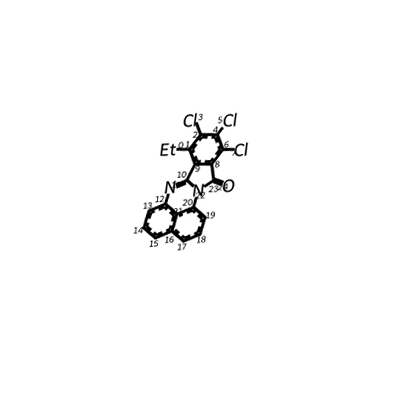 CCc1c(Cl)c(Cl)c(Cl)c2c1C1=Nc3cccc4cccc(c34)N1C2=O